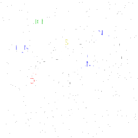 Cl.NC(=O)C1=C(C2CCC2)N2CCCN=C2S1